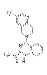 FC(F)(F)c1cnc2c(c1)CN(c1nn3c(C(F)(F)F)nnc3c3ccccc13)CC2